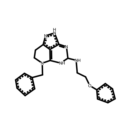 c1ccc(CN2CCc3n[nH]c4c3=C2NC(NCCOc2ccccc2)N=4)cc1